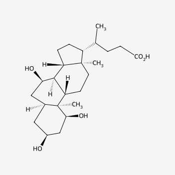 CC(CCC(=O)O)[C@H]1CC[C@H]2[C@@H]3[C@H](O)C[C@@H]4C[C@H](O)C[C@H](O)[C@]4(C)[C@H]3CC[C@]12C